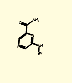 CC(C)Nc1cncc(C(N)=O)n1